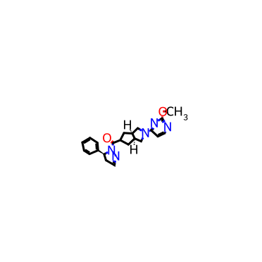 COc1nccc(N2C[C@H]3CC(C(=O)N4N=CC[C@H]4c4ccccc4)C[C@H]3C2)n1